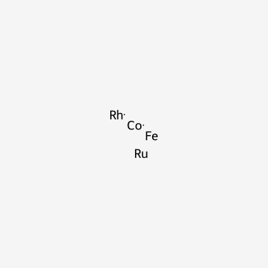 [Co].[Fe].[Rh].[Ru]